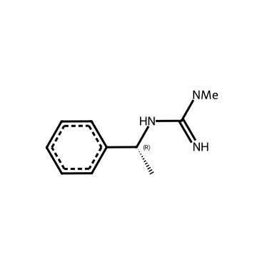 CNC(=N)N[C@H](C)c1ccccc1